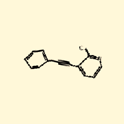 Clc1ncccc1C#Cc1ccccc1